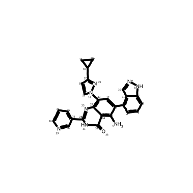 Nc1c(-c2cccc3[nH]ncc23)cc(-n2ccc(C3CC3)n2)c2nc(-c3cccnc3)[nH]c(=O)c12